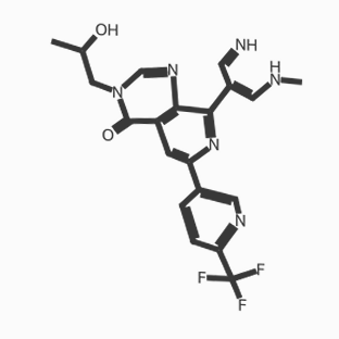 CN/C=C(\C=N)c1nc(-c2ccc(C(F)(F)F)nc2)cc2c(=O)n(CC(C)O)cnc12